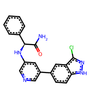 NC(=O)[C@@H](Nc1cncc(-c2ccc3[nH]nc(Cl)c3c2)c1)c1ccccc1